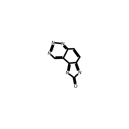 O=C1N=c2ccc3nnncc3c2=N1